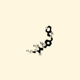 CCOC(=O)/C(N)=C/N(N)Cc1ccc(Cn2cc3c(n2)CCOC3)cc1